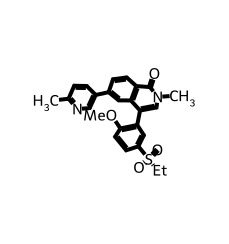 CCS(=O)(=O)c1ccc(OC)c(-c2cn(C)c(=O)c3ccc(-c4ccc(C)nc4)cc23)c1